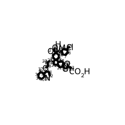 COC(=O)C1(Nc2cccc(Cl)c2)CCC2(CC1)c1cc3c(cc1C[C@@H]2C[C@@H](C)COc1ccnc2c1[C@H](C)CCC2)OC(CC(=O)O)O3